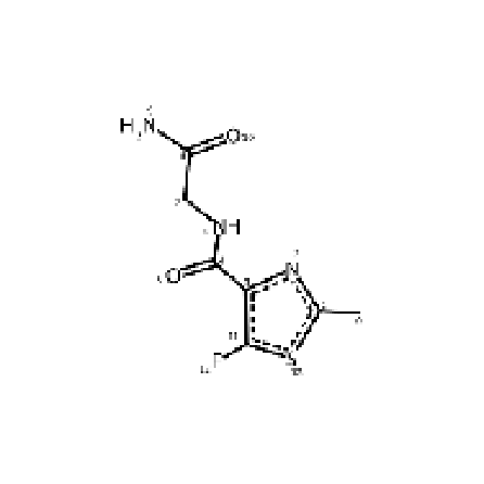 Cc1nc(C(=O)NCC(N)=O)c(F)s1